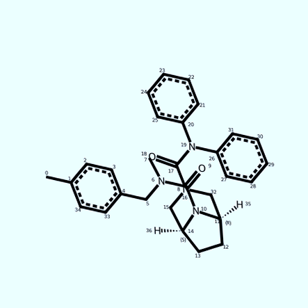 Cc1ccc(CN(C)C(=O)N2[C@@H]3CC[C@H]2CN(C(=O)N(c2ccccc2)c2ccccc2)C3)cc1